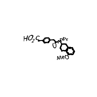 CCCN(C(=O)Cc1ccc(CC(=O)O)cc1)C1CCc2c(cccc2OC)C1